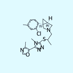 Cc1ccc([C@]23C[C@H]2CN(CC(C)Sc2nnc(-c4ocnc4C)n2C)C3)c(Cl)c1